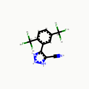 N#Cc1[nH]nnc1-c1cc(C(F)(F)F)ccc1C(F)(F)F